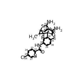 C[C@H]1[C@@H]2[C@@]1(/C=C/C(N)=O)SC(N)=N[C@]2(CF)c1cc(NC(=O)c2ccc(Cl)cn2)ccc1F